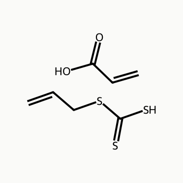 C=CC(=O)O.C=CCSC(=S)S